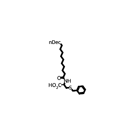 CCCCCCCCCCCCCCCCCCCC(=O)N[C@@H](CSCc1ccccc1)C(=O)O